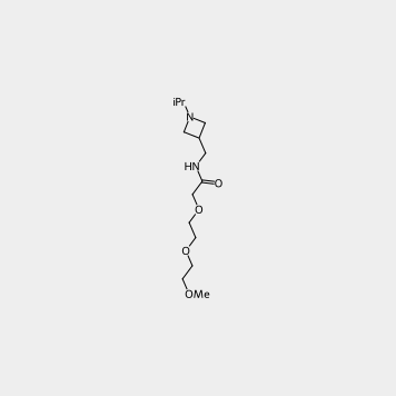 COCCOCCOCC(=O)NCC1CN(C(C)C)C1